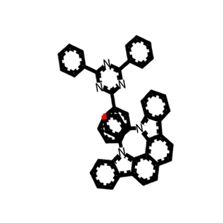 c1ccc(-c2nc(-c3ccccc3)nc(-c3ccc(-n4c5ccccc5c5ccc6ccc7c8ccccc8n(-c8ccccc8)c7c6c54)cc3)n2)cc1